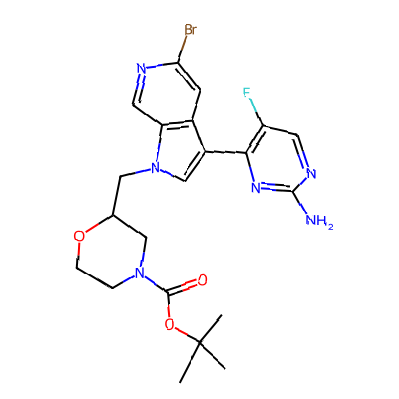 CC(C)(C)OC(=O)N1CCOC(Cn2cc(-c3nc(N)ncc3F)c3cc(Br)ncc32)C1